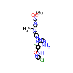 CC(C)(C)OC(=O)N1CC(N2CC[C@H](C([SiH3])N3CC4(CCN(c5nc(-c6ccc(C(=O)Nc7cc(Cl)ccn7)cc6F)c6c(N)nccn56)CC4)C3)C2)C1